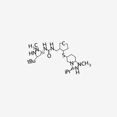 CC(C)[C@@H]1NN(C)C2CCC(SC3CCCCC3CNC(=O)N[C@@H]3CC(C(C)(C)C)NN3C)CN21